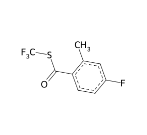 Cc1cc(F)ccc1C(=O)SC(F)(F)F